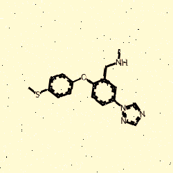 CNCc1cc(-n2cncn2)ccc1Oc1ccc(SC)cc1